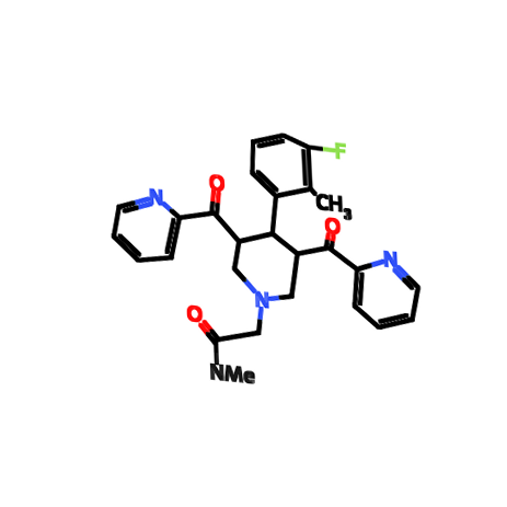 CNC(=O)CN1CC(C(=O)c2ccccn2)C(c2cccc(F)c2C)C(C(=O)c2ccccn2)C1